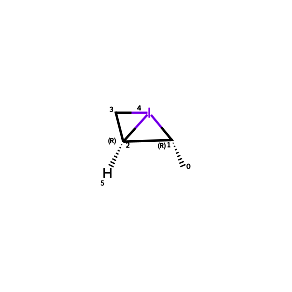 C[C@@H]1[C@H]2CI12